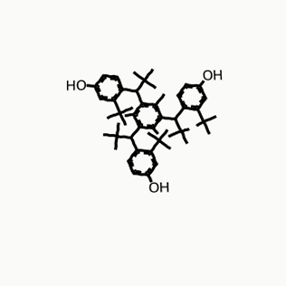 Cc1c(C(c2ccc(O)cc2C(C)(C)C)C(C)(C)C)c(C)c(C(c2ccc(O)cc2C(C)(C)C)C(C)(C)C)c(C)c1C(c1ccc(O)cc1C(C)(C)C)C(C)(C)C